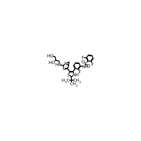 CC(C)(C)C1NC(c2cccc(NS(=O)(=O)c3c(F)cccc3F)c2F)=C(C2=NC(NCC(O)CO)N3CC23)S1